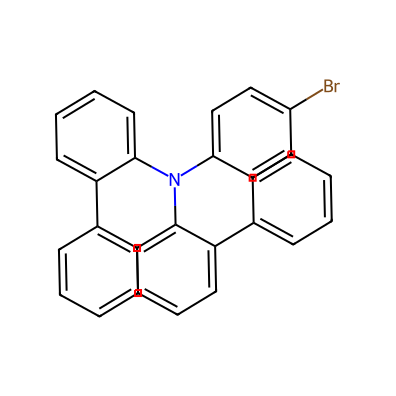 Brc1ccc(N(c2ccccc2-c2ccccc2)c2ccccc2-c2ccccc2)cc1